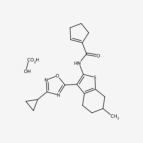 CC1CCc2c(sc(NC(=O)C3=CCCC3)c2-c2nc(C3CC3)no2)C1.O=C(O)O